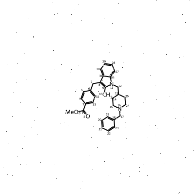 COC(=O)c1ccc(Cc2c(C)n(CC3CCN(Cc4ccccc4)CC3)c3ccccc23)cc1